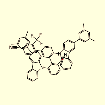 Cc1cc(C)cc(-c2ccc3c(c2)c2ccccc2n3-c2ccc(-c3ccc(C#N)cc3C(F)(F)F)cc2-c2c(C#N)cccc2-n2c3ccccc3c3cc(-c4cc(C)cc(C)c4)ccc32)c1